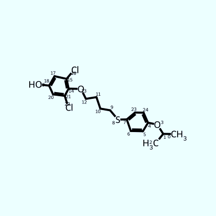 CC(C)Oc1ccc(SCCCCOc2c(Cl)cc(O)cc2Cl)cc1